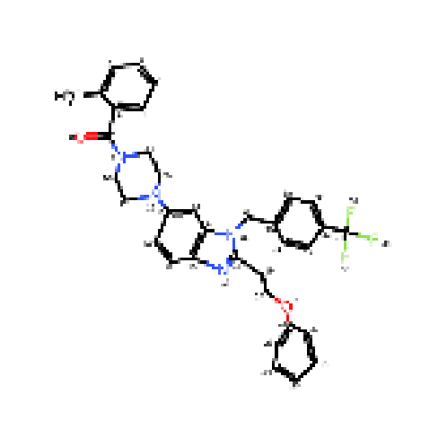 Cc1ccccc1C(=O)N1CCN(c2ccc3nc(CCOc4ccccc4)n(Cc4ccc(C(F)(F)F)cc4)c3c2)CC1